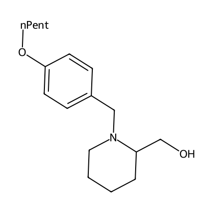 CCCCCOc1ccc(CN2CCCCC2CO)cc1